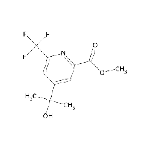 COC(=O)c1cc(C(C)(C)O)cc(C(F)(F)F)n1